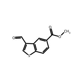 COC(=O)c1ccc2scc(C=O)c2c1